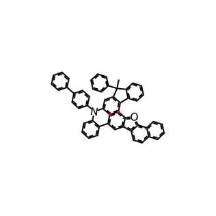 CC1(c2ccccc2)c2ccccc2-c2ccc(N(c3ccc(-c4ccccc4)cc3)c3ccccc3-c3ccc4oc5c6ccccc6ccc5c4c3)cc21